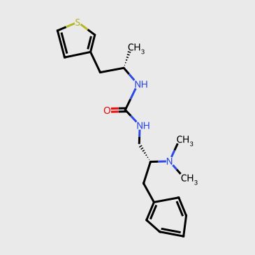 C[C@@H](Cc1ccsc1)NC(=O)NC[C@@H](Cc1ccccc1)N(C)C